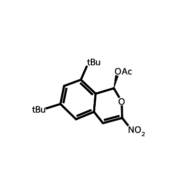 CC(=O)O[C@H]1OC([N+](=O)[O-])=Cc2cc(C(C)(C)C)cc(C(C)(C)C)c21